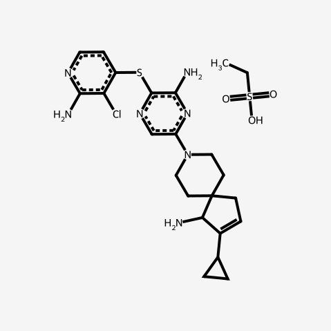 CCS(=O)(=O)O.Nc1nc(N2CCC3(CC=C(C4CC4)C3N)CC2)cnc1Sc1ccnc(N)c1Cl